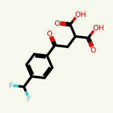 O=C(CC(C(=O)O)C(=O)O)c1ccc(C(F)F)cc1